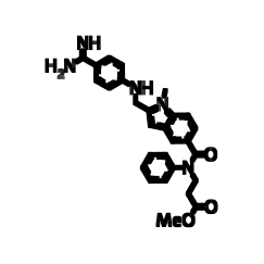 COC(=O)CCN(C(=O)c1ccc2c(c1)cc(CNc1ccc(C(=N)N)cc1)n2C)c1ccccc1